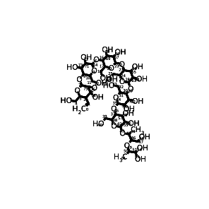 C=CC1C(CO)OC(OC2C(CO)OC(OC3C(CO)OC(OC4C(CO)OC(OC5C(CO)OC(OC6C(CO)OC(OC(C)C(CO)OC(C)C(O)O)C(O)C6O)C(O)C5O)C(O)C4O)C(O)C3O)C(O)C2O)C2OC12O